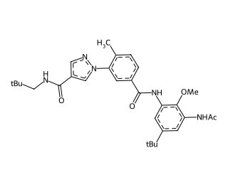 COc1c(NC(C)=O)cc(C(C)(C)C)cc1NC(=O)c1ccc(C)c(-n2cc(C(=O)NCC(C)(C)C)cn2)c1